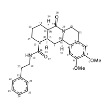 COc1cc2c(cc1OC)[C@H]1C[C@@H]3[C@@H](CCCN3C(=O)NCCc3ccccc3)C(=O)N1CC2